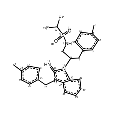 Cc1ccc(CC(CNS(=O)(=O)C(F)F)n2c(=N)n(Cc3ccc(C)cc3)c3ccccc32)cc1